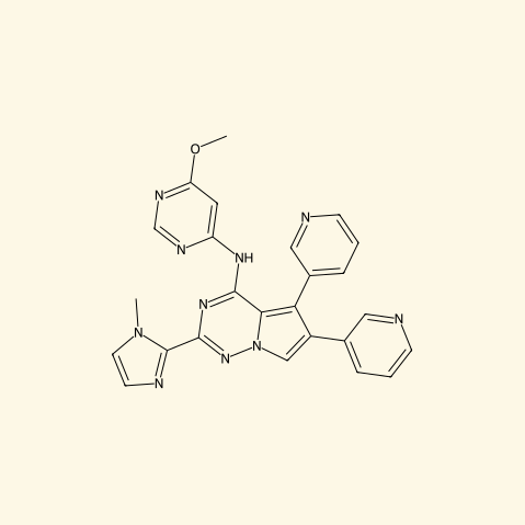 COc1cc(Nc2nc(-c3nccn3C)nn3cc(-c4cccnc4)c(-c4cccnc4)c23)ncn1